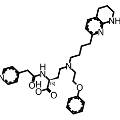 O=C(Cc1ccncc1)N[C@@H](CCN(CCCCc1ccc2c(n1)NCCC2)CCOc1ccccc1)C(=O)O